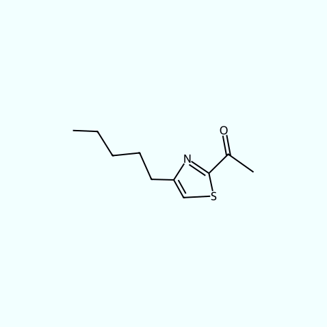 CCCCCc1csc(C(C)=O)n1